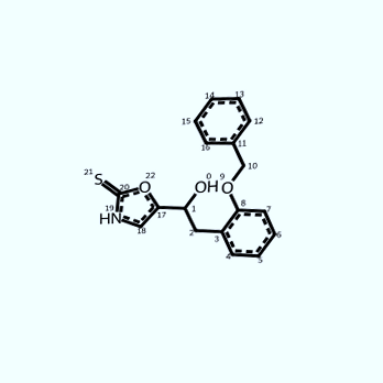 OC(Cc1ccccc1OCc1ccccc1)c1c[nH]c(=S)o1